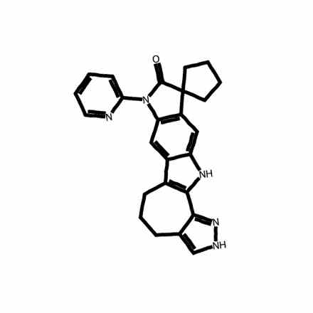 O=C1N(c2ccccn2)c2cc3c4c([nH]c3cc2C12CCCC2)-c1n[nH]cc1CCC4